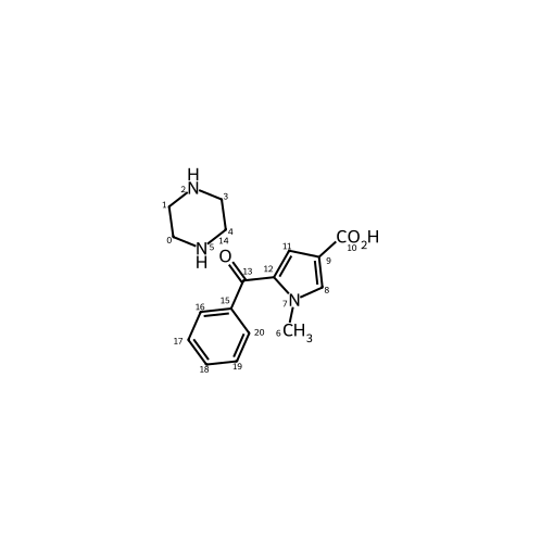 C1CNCCN1.Cn1cc(C(=O)O)cc1C(=O)c1ccccc1